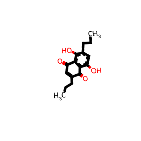 CCCC1=CC(=O)c2c(O)c(CCC)cc(O)c2C1=O